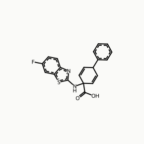 O=C(O)C1(Nc2nc3ccc(F)cc3s2)C=CC(c2ccccc2)C=C1